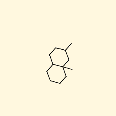 CC1CCC2CCCCC2(C)C1